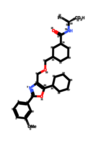 COc1cccc(-c2nc(COCC3CCCC(C(=O)N[C@H](C(=O)O)C(C)C)C3)c(C3CCCCC3)o2)c1